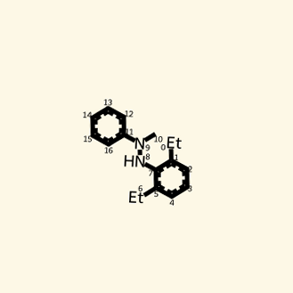 CCc1cccc(CC)c1NN(C)c1ccccc1